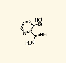 Cl.N=C(N)c1ncccc1Br